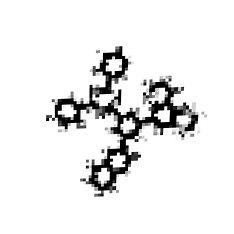 c1ccc(-c2nc(-c3ccccc3)nc(-c3cc(-c4ccc5ccccc5c4)cc(-c4cc5nccnc5c5cccnc45)c3)n2)cc1